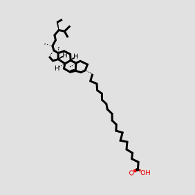 CC[C@H](CC[C@@H](C)[C@H]1CC[C@H]2[C@@H]3CC=C4C[C@@H](CCCCCCCCCCCCCCCCCCCC(=O)O)CC[C@]4(C)[C@H]3CC[C@]12C)C(C)C